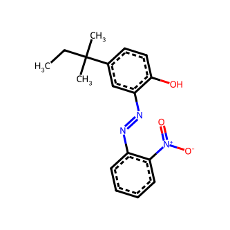 CCC(C)(C)c1ccc(O)c(N=Nc2ccccc2[N+](=O)[O-])c1